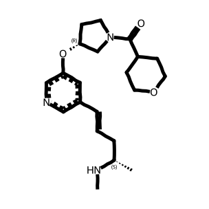 CN[C@@H](C)CC=Cc1cncc(O[C@@H]2CCN(C(=O)C3CCOCC3)C2)c1